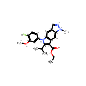 CCOC(=O)c1c(C(C)C)n(-c2ccc(F)c(OC)c2)c2cc3cnn(C)c3cc12